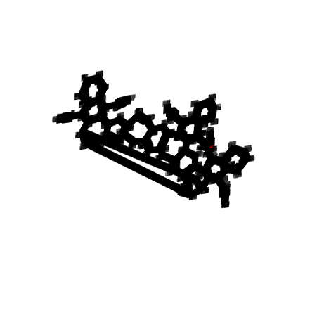 N#Cc1c2c(c(C#N)c3ccccc13)C1CC3=C4C=C1CC1=C2CC2C(=C1)CC1=C(CC5C(=C1)CC1=C(CC(C=C3)C(=C1)C4)c1c5c(C#N)c3ccccc3c1C#N)c1c2c(C#N)c2ccccc2c1C#N